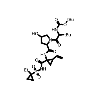 C=CC1CC1(NC(=O)C1CC(O)CN1C(=O)C(NC(=O)OC(C)(C)C)C(C)(C)C)C(=O)NS(=O)(=O)C1(CC)CC1